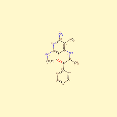 CCOC(=O)Nc1cc(NC(C)C(=O)c2ccccc2)c([N+](=O)[O-])c(N)n1